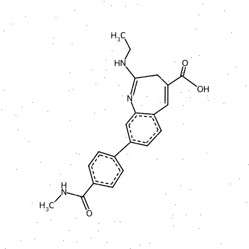 CCNC1=Nc2cc(-c3ccc(C(=O)NC)cc3)ccc2C=C(C(=O)O)C1